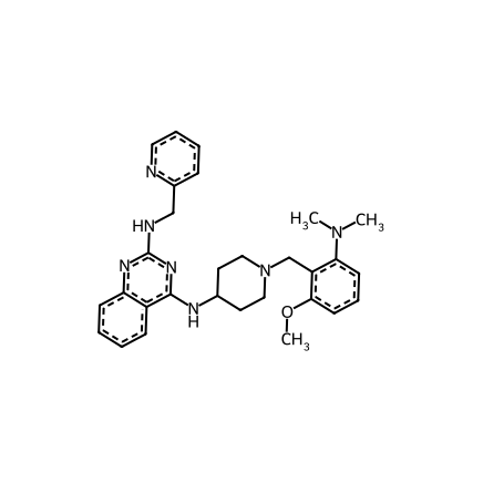 COc1cccc(N(C)C)c1CN1CCC(Nc2nc(NCc3ccccn3)nc3ccccc23)CC1